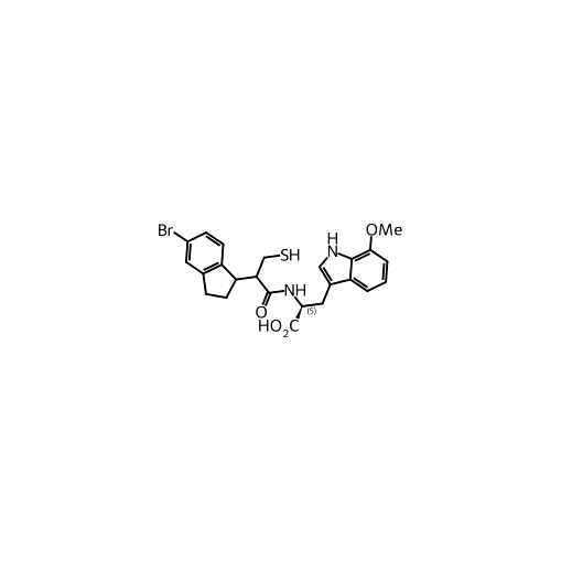 COc1cccc2c(C[C@H](NC(=O)C(CS)C3CCc4cc(Br)ccc43)C(=O)O)c[nH]c12